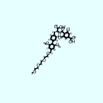 COCCOCCOCCOCc1cc(OC)c(-c2ccc(C[C@H](NC(=O)c3c(Cl)cc(C(=O)O)cc3Cl)C(=O)O)cc2)c(OC)c1